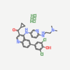 CN(C)CCNc1ccc(Nc2c(C(=O)C3CC3)cnc3ccc(-c4cc(Cl)c(O)c(Cl)c4)cc23)cn1.Cl.Cl.Cl